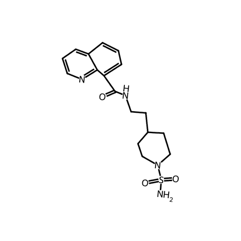 NS(=O)(=O)N1CCC(CCNC(=O)c2cccc3cccnc23)CC1